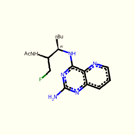 CCCC[C@@H](Nc1nc(N)nc2cccnc12)C(CF)NC(C)=O